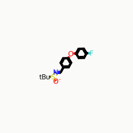 CC(C)(C)[S+]([O-])/N=C/c1ccc(Oc2ccc(F)cc2)cc1